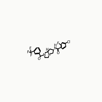 O=C(N[C@H]1C[C@H]2CN(C(=O)c3cccc(C(F)(F)F)c3)CCN2C1)c1ccc(Cl)cc1F